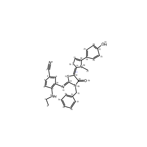 CCNc1ccc(C#N)cc1N=C1S/C(=C2\SC=C(c3ccc(O)cc3)N2C)C(=O)N1Cc1ccccc1